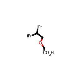 CC(C)C(COCC(=O)O)C(C)C